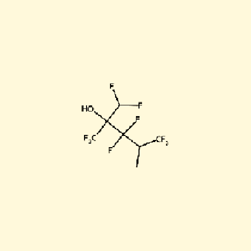 CC(C(F)(F)F)C(F)(F)C(O)(C(F)F)C(F)(F)F